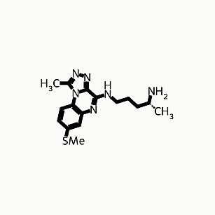 CSc1ccc2c(c1)nc(NCCC[C@@H](C)N)c1nnc(C)n12